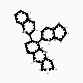 c1ccc2nc(-c3ccc4nc5ccccc5nc4c3-c3ccc4ccccc4n3)ccc2c1